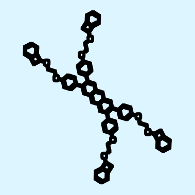 c1ccc2c(c1)CC2OCCOc1ccc(-c2cc3cc4cc(-c5ccc(OCCOC6Cc7ccccc76)cc5)c(-c5ccc(OCCOC6Cc7ccccc76)cc5)cc4cc3cc2-c2ccc(OCCOC3Cc4ccccc43)cc2)cc1